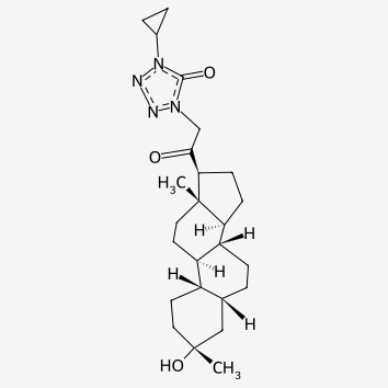 C[C@@]1(O)CC[C@H]2[C@H](CC[C@@H]3[C@@H]2CC[C@]2(C)[C@@H](C(=O)Cn4nnn(C5CC5)c4=O)CC[C@@H]32)C1